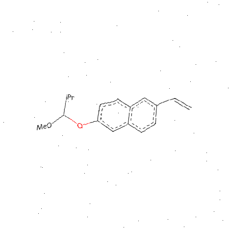 C=Cc1ccc2cc(OC(OC)C(C)C)ccc2c1